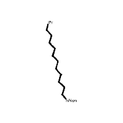 CCCCCCCCCCCC[CH]CCCCCCCC(C)C